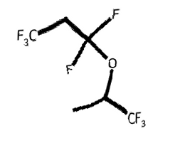 CC(OC(F)(F)CC(F)(F)F)C(F)(F)F